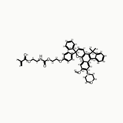 C=C(C)C(=O)OCCNC(=O)OCCOc1ccc(C2(c3ccccc3)C=Cc3c4c(c5cc(N6CCOCC6)c(OC)cc5c3O2)-c2ccccc2C4(C)C)cc1